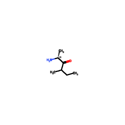 CCC(C)C(=O)[C@@H](C)N